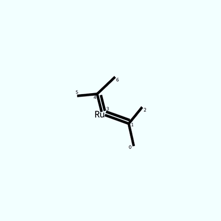 C[C](C)=[Ru]=[C](C)C